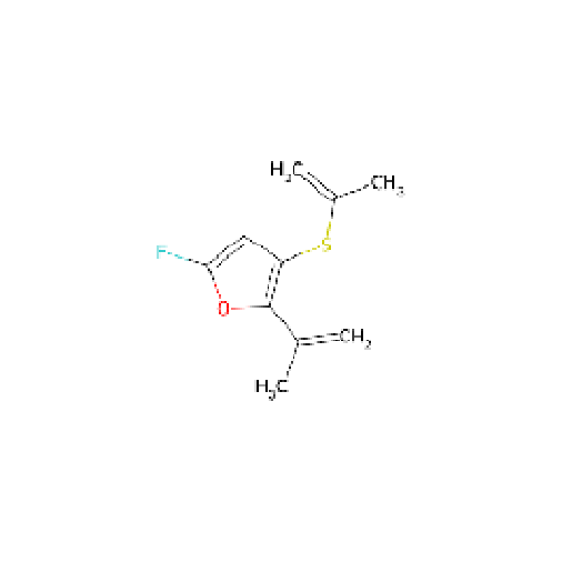 C=C(C)Sc1cc(F)oc1C(=C)C